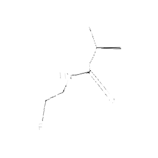 CC(C)C(=O)NCCF